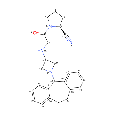 N#C[C@@H]1CCCN1C(=O)CNC1CN(C2c3ccccc3CCc3ccccc32)C1